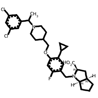 CC(c1cc(Cl)cc(Cl)c1)N1CCC(COc2cc(F)c(CN3[C@@H](C(=O)O)C[C@H]4CCC[C@H]43)cc2C2CC2)CC1